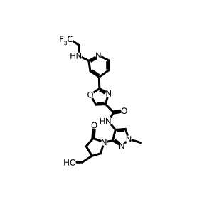 Cn1cc(NC(=O)c2coc(-c3ccnc(NCC(F)(F)F)c3)n2)c(N2CC(CO)CC2=O)n1